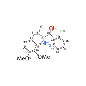 COc1ccc(CC(C)C(N)C(O)c2ccccc2F)cc1OC